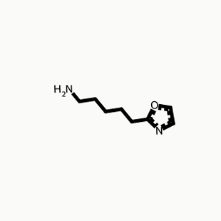 NCCCCCc1ncco1